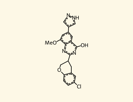 COc1cc(-c2cn[nH]c2)cc2c(O)nc(C3COc4ccc(Cl)cc4C3)nc12